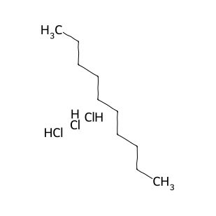 CCCCCCCCCC.Cl.Cl.Cl